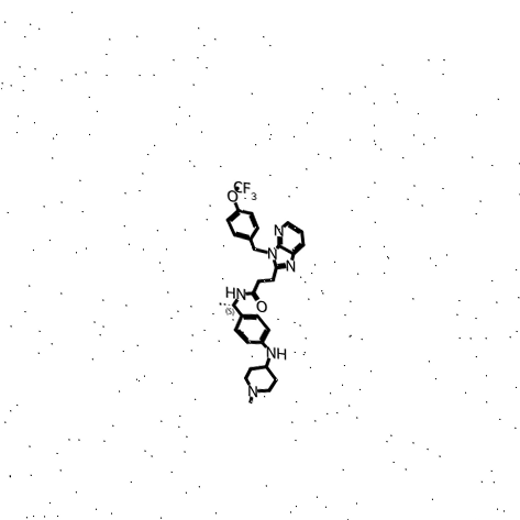 C[C@H](NC(=O)CCc1nc2cccnc2n1Cc1ccc(OC(F)(F)F)cc1)c1ccc(NC2CCN(C)CC2)cc1